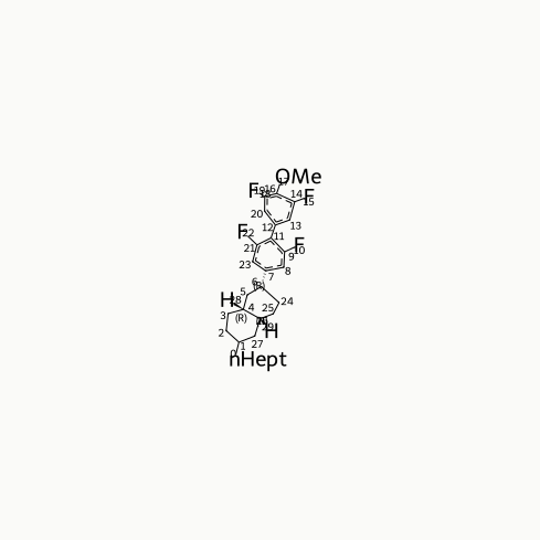 CCCCCCCC1CC[C@@H]2C[C@H](c3cc(F)c(-c4cc(F)c(OC)c(F)c4)c(F)c3)CC[C@@H]2C1